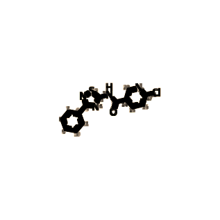 O=C(Nc1nc(-c2ccccc2)ns1)c1ccc(Cl)nc1